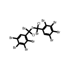 ClC(Br)(SC(Cl)(Br)c1cc(Br)c(Br)c(Br)c1Br)c1cc(Br)c(Br)c(Br)c1Br